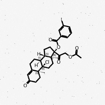 CC(=O)OCC(=O)[C@@]1(OC(=O)c2cccc(I)c2)CC[C@H]2[C@@H]3CCC4=CC(=O)CC[C@]4(C)[C@@]3(Cl)CC[C@@]21C